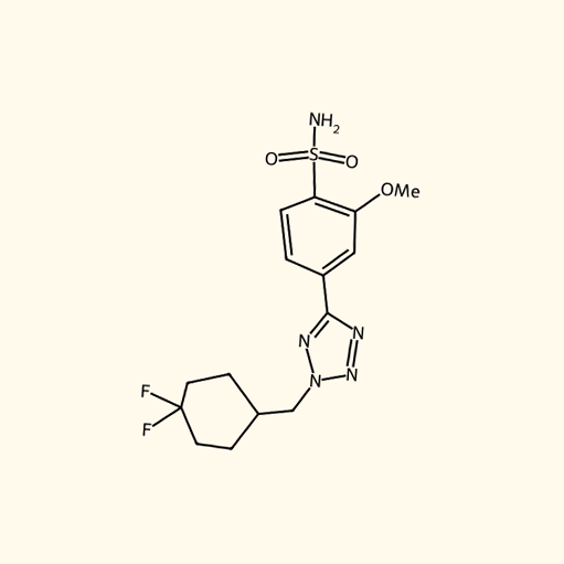 COc1cc(-c2nnn(CC3CCC(F)(F)CC3)n2)ccc1S(N)(=O)=O